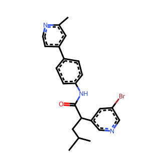 Cc1cc(-c2ccc(NC(=O)C(CC(C)C)c3cncc(Br)c3)cc2)ccn1